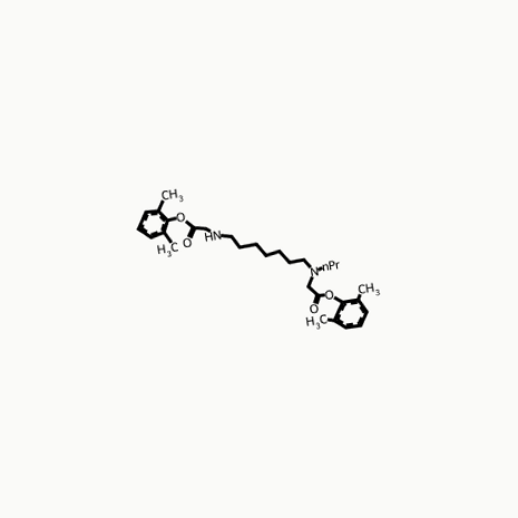 CCCN(CCCCCCCNCC(=O)Oc1c(C)cccc1C)CC(=O)Oc1c(C)cccc1C